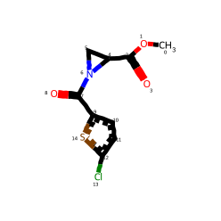 COC(=O)C1CN1C(=O)c1ccc(Cl)s1